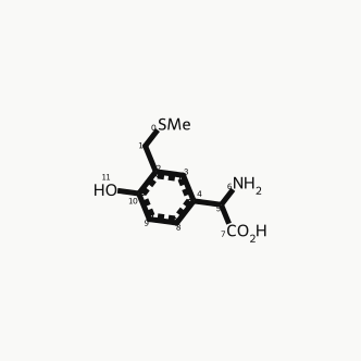 CSCc1cc(C(N)C(=O)O)ccc1O